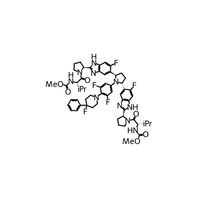 COC(=O)N[C@H](C(=O)N1CCC[C@H]1c1nc2cc([C@H]3CC[C@H](c4cc5nc([C@@H]6CCCN6C(=O)[C@@H](NC(=O)OC)C(C)C)[nH]c5cc4F)N3c3cc(F)c(N4CCC(F)(c5ccccc5)CC4)c(F)c3)c(F)cc2[nH]1)C(C)C